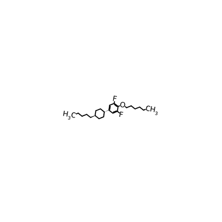 CCCCCCOc1c(F)cc([C@H]2CC[C@H](CCCCC)CC2)cc1F